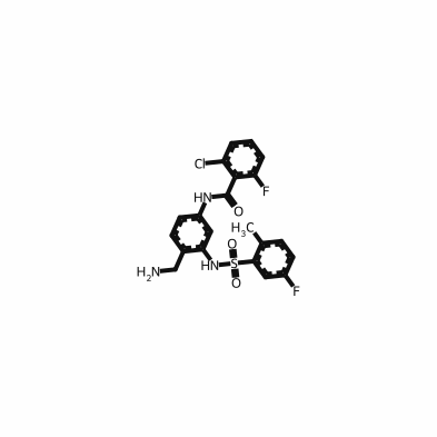 Cc1ccc(F)cc1S(=O)(=O)Nc1cc(NC(=O)c2c(F)cccc2Cl)ccc1CN